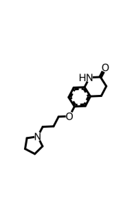 O=C1CCc2cc(OCCCN3CCCC3)ccc2N1